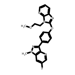 COCCn1c(Oc2ccc(-c3nn(C)c4cc(F)cnc34)cc2)nc2cccnc21